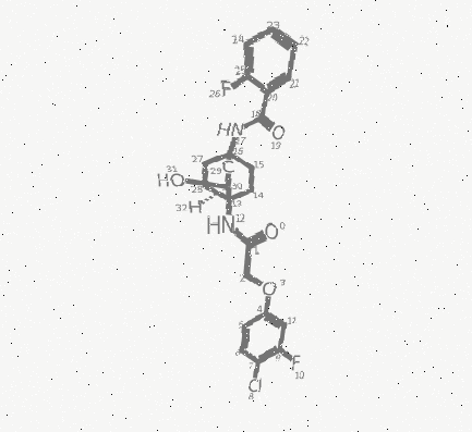 O=C(COc1ccc(Cl)c(F)c1)NC12CCC(NC(=O)c3ccccc3F)(CC1)C[C@@H]2O